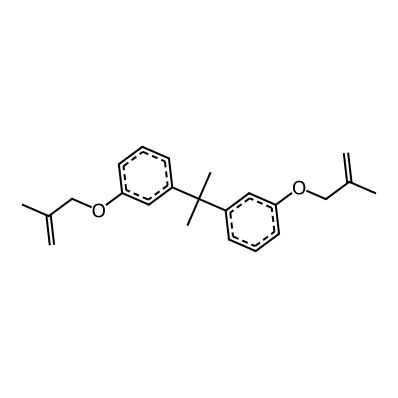 C=C(C)COc1cccc(C(C)(C)c2cccc(OCC(=C)C)c2)c1